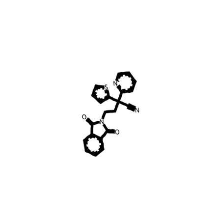 N#CC(CCN1C(=O)c2ccccc2C1=O)(c1ccccn1)c1cccs1